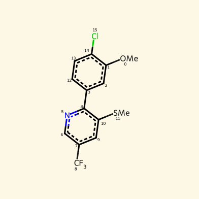 COc1cc(-c2ncc(C(F)(F)F)cc2SC)ccc1Cl